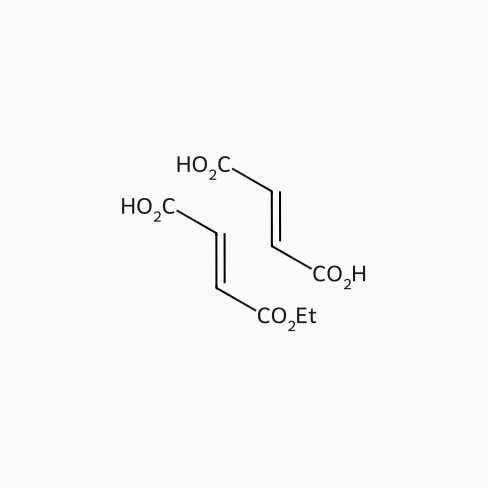 CCOC(=O)C=CC(=O)O.O=C(O)C=CC(=O)O